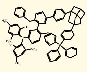 Cc1cc(C)c(B(c2ccc(C)c(-c3cc(-c4ccc(C56CC7CC8CC(C9=CC=C([Si](C%10=CCCC=C%10)(c%10ccccc%10)c%10ccccc%10)CC9)(C5)CC876)cc4)ccc3Cc3ccccc3)c2)c2c(C)cc(C)cc2C)c(C)c1